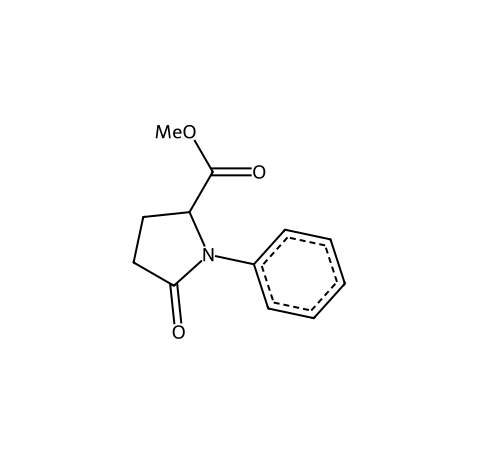 COC(=O)C1CCC(=O)N1c1ccccc1